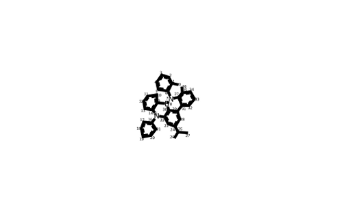 Cc1ccccc1N1B2c3ccccc3N(c3ccccc3)c3cc(C(C)C)cc(c32)-c2cccc(C)c21